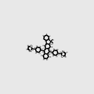 CC1(C)c2ccccc2-c2cc3c(-c4ccc(-c5ncco5)cc4)c4ccccc4c(-c4ccc(-c5ncco5)cc4)c3cc21